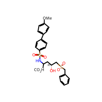 COc1ccc(-c2ccc(S(=O)(=O)NC(C[C@@H](O)CS(=O)(=O)Cc3ccccc3)C(=O)O)cc2)cc1